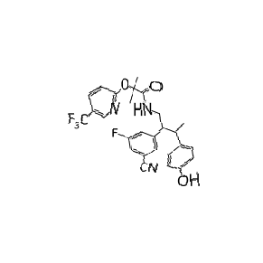 CC(c1ccc(O)cc1)C(CNC(=O)C(C)(C)Oc1ccc(C(F)(F)F)cn1)c1cc(F)cc(C#N)c1